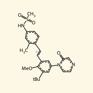 COc1c(/C=C/c2ccc(NS(C)(=O)=O)cc2C)cc(-n2ccncc2=O)cc1C(C)(C)C